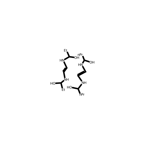 CCC(O)N/C=C/NC(O)CC.CCCC(O)N/C=C/NC(O)CCC